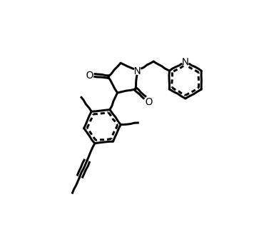 CC#Cc1cc(C)c(C2C(=O)CN(Cc3ccccn3)C2=O)c(C)c1